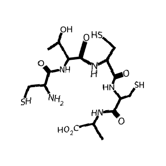 CC(NC(=O)C(CS)NC(=O)C(CS)NC(=O)C(NC(=O)C(N)CS)C(C)O)C(=O)O